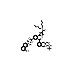 CCCCN(CCCC)C(=O)c1cn(C)c(-c2ccc(C(=O)NS(=O)(=O)c3ccc4cccc(Cl)c4c3)cc2C(=O)c2cccc3c2CC(CO[Si](C)(C)C(C)(C)C)NC3)n1